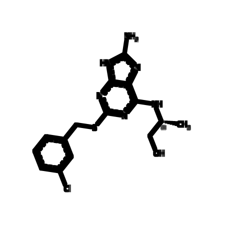 C[C@H](CO)Nc1nc(SCc2cccc(Cl)c2)nc2[nH]c(N)nc12